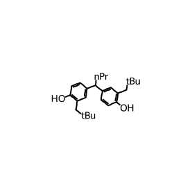 CCCC(c1ccc(O)c(CC(C)(C)C)c1)c1ccc(O)c(CC(C)(C)C)c1